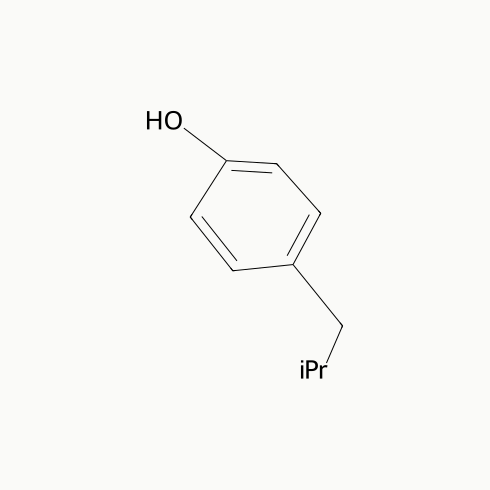 CC(C)Cc1ccc(O)cc1